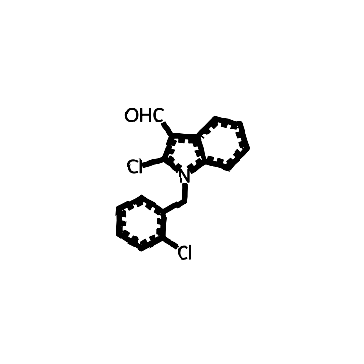 O=Cc1c(Cl)n(Cc2ccccc2Cl)c2ccccc12